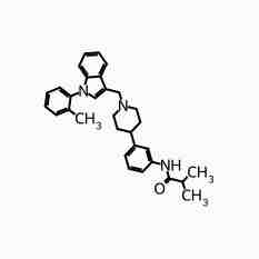 Cc1ccccc1-n1cc(CN2CCC(c3cccc(NC(=O)C(C)C)c3)CC2)c2ccccc21